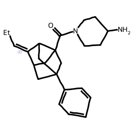 CC/C=C1/C2CC3(c4ccccc4)CC1C(C(=O)N1CCC(N)CC1)(C2)C3